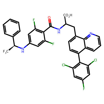 O=C(NC(Cc1ccc(-c2c(Cl)cc(F)cc2Cl)c2cccnc12)C(=O)O)c1c(F)cc(N[C@H](c2ccccc2)C(F)(F)F)cc1F